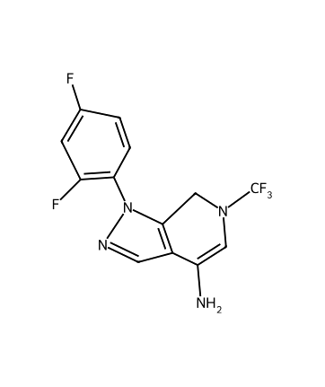 NC1=CN(C(F)(F)F)Cc2c1cnn2-c1ccc(F)cc1F